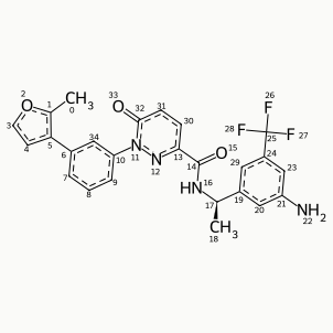 Cc1occc1-c1cccc(-n2nc(C(=O)N[C@H](C)c3cc(N)cc(C(F)(F)F)c3)ccc2=O)c1